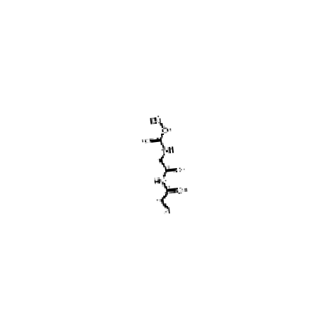 CC(C)(C)OC(=O)NCC(=O)NC(=O)CI